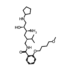 COCCCCOc1ccccc1C(=O)NC[C@@H](C[C@H](N)[C@@H](O)CNC1CCCC1)C(C)C